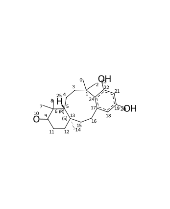 CC1(C)CC[C@H]2C(C)(C)C(=O)CC[C@]2(C)CCc2cc(O)cc(O)c21